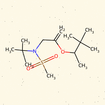 C=C(CN(C(C)(C)C)S(C)(=O)=O)OC(C)C(C)(C)C